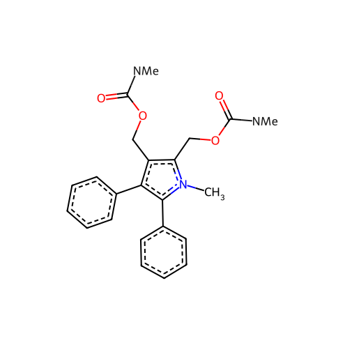 CNC(=O)OCc1c(-c2ccccc2)c(-c2ccccc2)n(C)c1COC(=O)NC